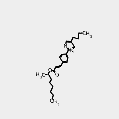 CCCCCC[C@@H](C)OC(=O)C=Cc1ccc(-c2ncc(CCCC)cn2)cc1